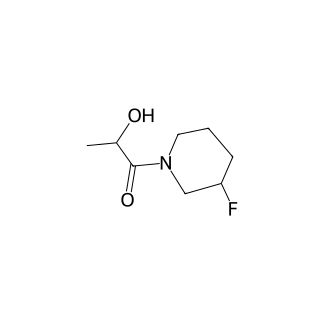 CC(O)C(=O)N1CCCC(F)C1